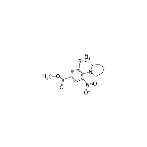 COC(=O)c1cc(Br)c(N2CCCCC2C)c([N+](=O)[O-])c1